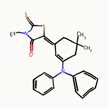 CCN1C(=O)C(=C2C=C(N(c3ccccc3)c3ccccc3)CC(C)(C)C2)SC1=S